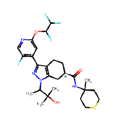 CC(n1nc(-c2cc(OC(F)C(F)F)ncc2F)c2c1C[C@H](C(=O)NC1(C)CCSCC1)CC2)C(C)(C)O